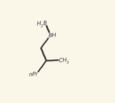 BBCC(C)CCC